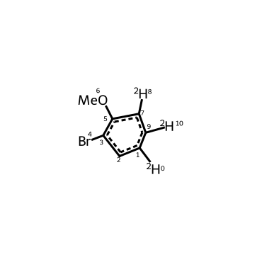 [2H]c1cc(Br)c(OC)c([2H])c1[2H]